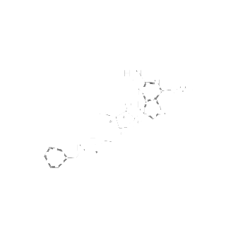 COc1nc(N)nc2c1ncn2[C@@H]1O[C@H](CO[PH](=O)NCc2ccccc2)[C@@H](O)[C@@]1(C)O